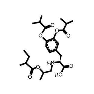 CCC(C)C(=O)OC(C)CN[C@@H](Cc1ccc(OC(=O)C(C)C)c(OC(=O)C(C)C)c1)C(=O)O